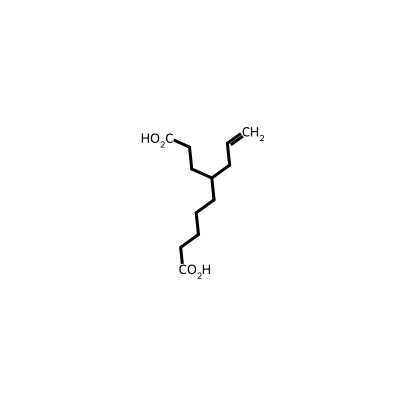 C=CCC(CCCCC(=O)O)CCC(=O)O